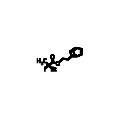 CCC(C)(I)C(=O)OCCc1cc2ccc1o2